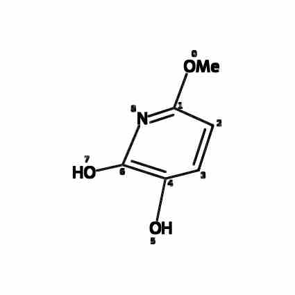 COc1ccc(O)c(O)n1